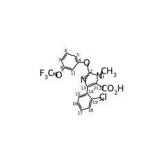 Cn1c(Oc2cccc(OC(F)(F)F)c2)nc(-c2ccccc2Cl)c1C(=O)O